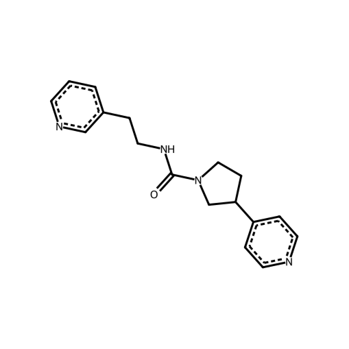 O=C(NCCc1cccnc1)N1CCC(c2ccncc2)C1